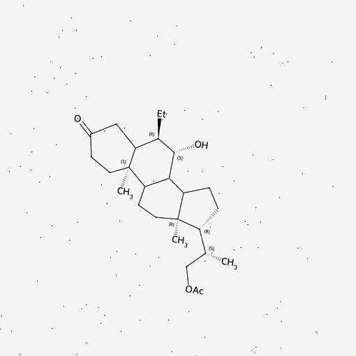 CC[C@@H]1C2CC(=O)CC[C@]2(C)C2CC[C@@]3(C)C(CC[C@@H]3[C@H](C)COC(C)=O)C2[C@H]1O